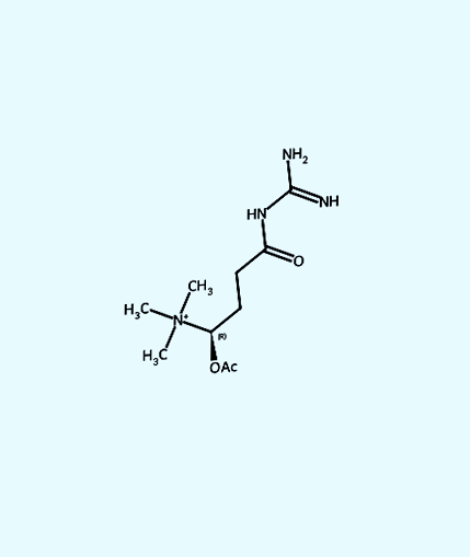 CC(=O)O[C@H](CCC(=O)NC(=N)N)[N+](C)(C)C